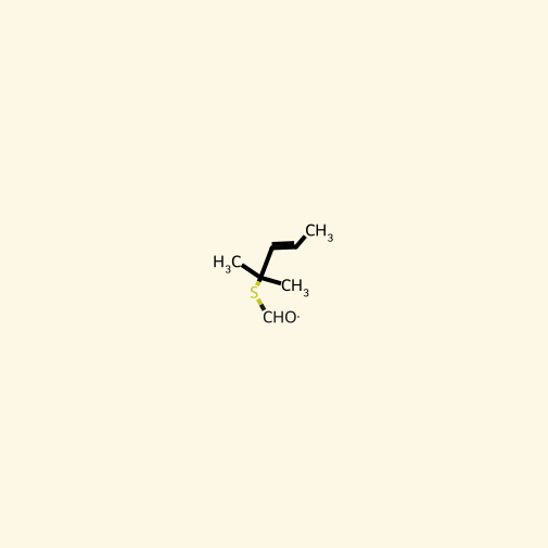 CC=CC(C)(C)S[C]=O